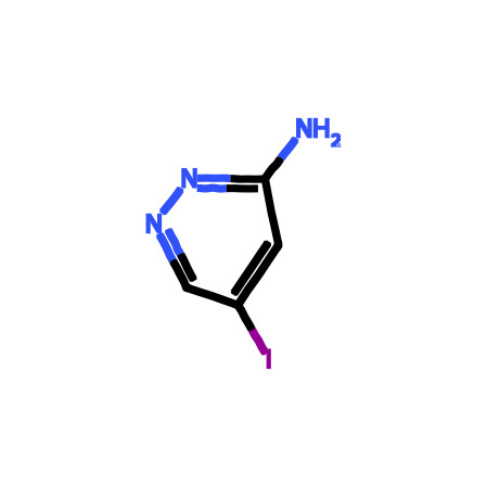 Nc1cc(I)cnn1